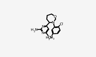 Cc1cc(C2CCCOCN2c2cc(N)ccc2Cl)nc(N)n1